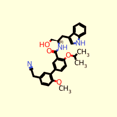 COc1ccc(CC#N)cc1-c1ccc(OC(C)C)c(C(=O)N[C@@H](CO)Cc2c[nH]c3ccccc23)c1